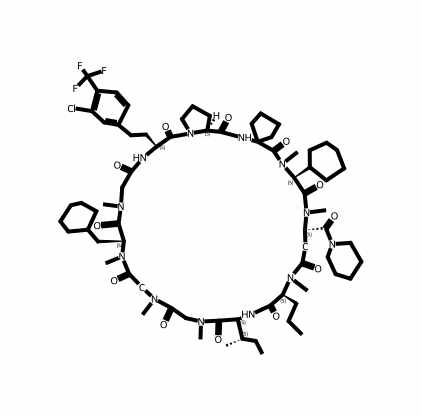 CCC[C@H]1C(=O)N[C@@H]([C@@H](C)CC)C(=O)N(C)CC(=O)N(C)CC(=O)N(C)[C@@H](CC2CCCCC2)C(=O)N(C)CC(=O)N[C@@H](CCc2ccc(C(F)(F)F)c(Cl)c2)C(=O)N2CCC[C@H]2C(=O)NC2(CCCC2)C(=O)N(C)[C@@H](C2CCCCC2)C(=O)N(C)[C@H](C(=O)N2CCCCC2)CC(=O)N1C